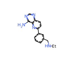 CCNCc1cccc(-c2ccc3ncnc(N)c3n2)c1